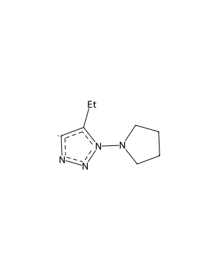 CCc1[c]nnn1N1CCCC1